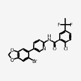 CC(F)(F)c1ccc(Cl)c(C(=O)Nc2ccc(-c3cc4c(cc3Br)OCO4)cn2)c1